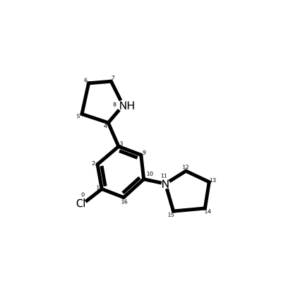 Clc1cc(C2CCCN2)cc(N2CCCC2)c1